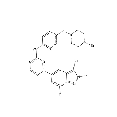 CCN1CCN(Cc2ccc(Nc3nccc(-c4cc(F)c5nn(C)c(C(C)C)c5c4)n3)nc2)CC1